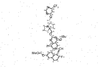 C#Cc1c(F)ccc2cc(OCOC)cc(-c3ncc4c(OC(C)(C)C)nc(OC[C@@]56CCCN5[C@H](COc5cc(C(F)(F)F)ncn5)CC6)nc4c3F)c12